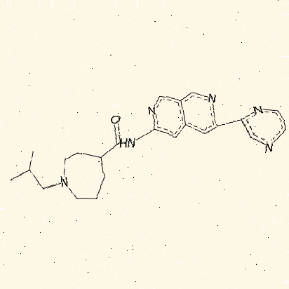 CC(C)CN1CCCC(C(=O)Nc2cc3cc(-c4cnccn4)ncc3cn2)CC1